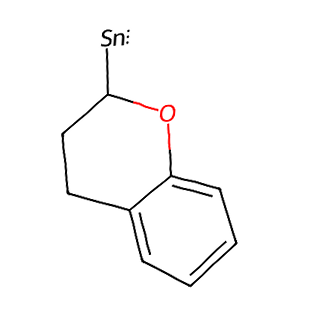 [Sn][CH]1CCc2ccccc2O1